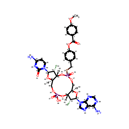 COc1ccc(C(=O)Oc2ccc(CSP3(=O)OC[C@H]4O[C@@H](n5cnc6c(N)ncnc65)[C@H](F)[C@@H]4OP(=O)(O)OC[C@H]4O[C@@H](n5ccc(N)nc5=O)[C@H](F)[C@@H]4O3)cc2)cc1